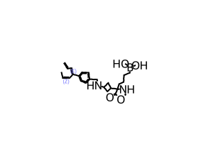 C=C/C=C(\C=C/C)c1ccc(CNC2CC(C3(CCCCB(O)O)NCOC3=O)C2)cc1